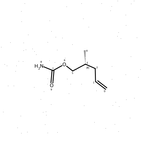 C=CC[C@@H](C)COC(N)=O